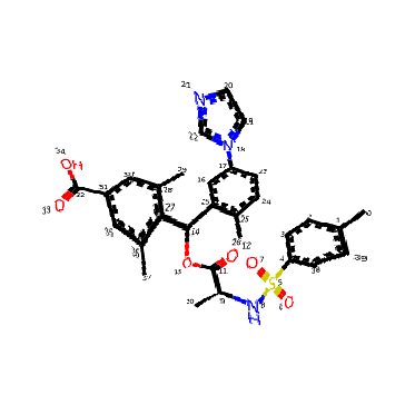 Cc1ccc(S(=O)(=O)N[C@@H](C)C(=O)OC(c2cc(-n3ccnc3)ccc2C)c2c(C)cc(C(=O)O)cc2C)cc1